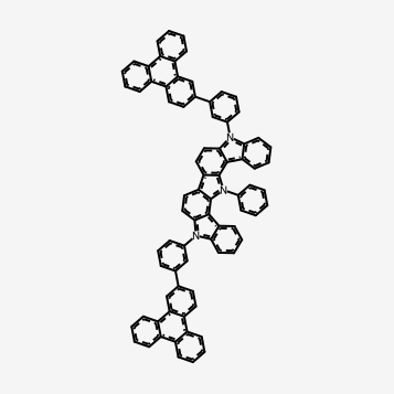 c1ccc(-n2c3c(ccc4c3c3ccccc3n4-c3cccc(-c4ccc5c6ccccc6c6ccccc6c5c4)c3)c3ccc4c(c5ccccc5n4-c4cccc(-c5ccc6c7ccccc7c7ccccc7c6c5)c4)c32)cc1